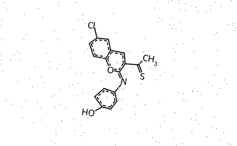 CC(=S)c1cc2cc(Cl)ccc2o/c1=N\c1ccc(O)cc1